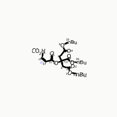 CCCCOC(=O)CC(CC(=O)OCCCC)(OC(=O)/C=C\C(=O)O)C(=O)OCCCC